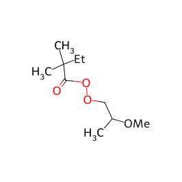 CCC(C)(C)C(=O)OOCC(C)OC